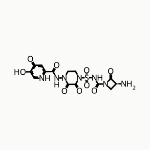 N[C@H]1CN(C(=O)NS(=O)(=O)N2CCN(NC(=O)c3cc(=O)c(O)c[nH]3)C(=O)C2=O)C1=O